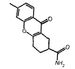 Cc1ccc2c(=O)c3c(oc2c1)CCC(C(N)=O)C3